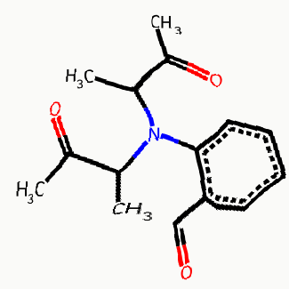 CC(=O)C(C)N(c1ccccc1C=O)C(C)C(C)=O